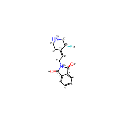 O=C1c2ccccc2C(=O)N1C/C=C1\CCNCC1F